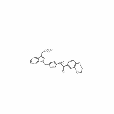 O=C(O)Cc1nn(Cc2ccc(NC(=O)c3ccc4c(c3)OCCO4)cc2)c2ccccc12